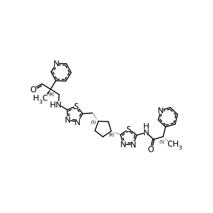 C[C@H](C(=O)Nc1nnc([C@@H]2CC[C@H](Cc3nnc(NC[C@](C)(C=O)c4cccnc4)s3)C2)s1)c1cccnc1